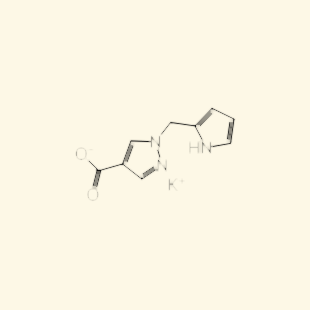 O=C([O-])c1cnn(Cc2ccc[nH]2)c1.[K+]